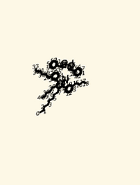 CCCCCCCCC1=C(c2cccc(CCCC)c2)[N+](=[N-])C(c2cccc(CCCCCC)c2)=C1CCCCC.c1ccc(C[O][Pd][O]Cc2ccccc2)cc1